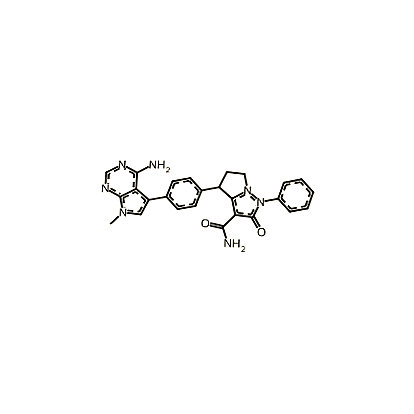 Cn1cc(-c2ccc(C3CCn4c3c(C(N)=O)c(=O)n4-c3ccccc3)cc2)c2c(N)ncnc21